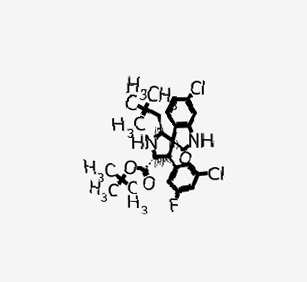 CC(C)(C)C[C@@H]1N[C@@H](C(=O)OC(C)(C)C)[C@H](c2cc(F)cc(Cl)c2)[C@]12C(=O)Nc1cc(Cl)ccc12